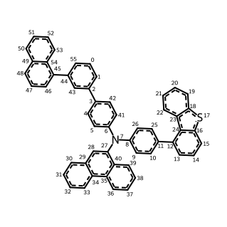 c1cc(-c2ccc(N(c3ccc(-c4cccc5sc6ccccc6c45)cc3)c3cc4ccccc4c4ccccc34)cc2)cc(-c2cccc3ccccc23)c1